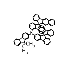 CC1(C)c2ccccc2-c2ccc(N(c3ccc4c(c3)C3(c5ccccc5-c5ccccc53)c3ccccc3-4)c3cccc4c3-c3ccccc3C43c4ccccc4-c4cc5ccccc5cc43)cc21